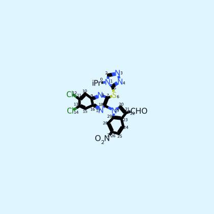 CC(C)n1cnnc1Sc1nc2cc(Cl)c(Cl)cc2nc1-n1cc(C=O)c2ccc([N+](=O)[O-])cc21